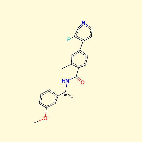 COc1cccc([C@@H](C)NC(=O)c2ccc(-c3ccncc3F)cc2C)c1